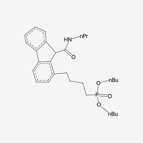 CCCCOP(=O)(CCCCc1cccc2c1C(C(=O)NCCC)c1ccccc1-2)OCCCC